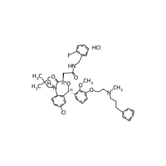 COc1c(OCCN(C)CCCc2ccccc2)cccc1[C@H]1O[C@H](CC(=O)NCc2ccccc2F)C(=O)N(CC(C)(C)C)c2ccc(Cl)cc21.Cl